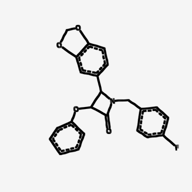 O=C1C(Oc2ccccc2)C(c2ccc3c(c2)OCO3)N1Cc1ccc(F)cc1